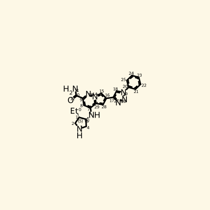 CC[C@H]1CNC[C@H]1Nc1cc(C(N)=O)nn2cc(-c3cn(-c4ccccc4)nn3)cc12